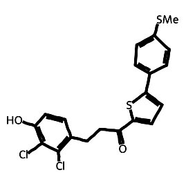 CSc1ccc(-c2ccc(C(=O)CCc3ccc(O)c(Cl)c3Cl)s2)cc1